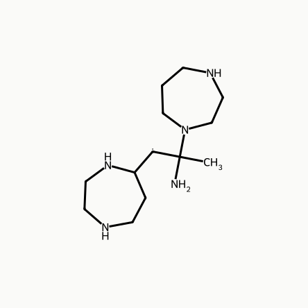 CC(N)([CH]C1CCNCCN1)N1CCCNCC1